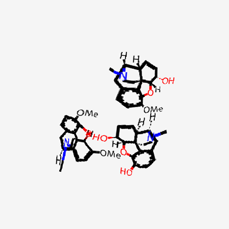 CN1CC[C@]23c4c5ccc(O)c4O[C@H]2[C@@H](O)C=C[C@H]3[C@H]1C5.COC1=CC=C2[C@H]3Cc4ccc(OC)c5c4[C@@]2(CCN3C)[C@H]1O5.COc1ccc2c3c1O[C@H]1[C@@H](O)C=C[C@H]4[C@@H](C2)N(C)CC[C@@]341